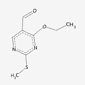 CCOc1nc(SC)ncc1C=O